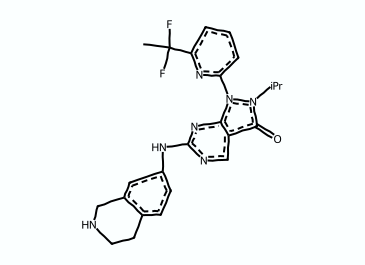 CC(C)n1c(=O)c2cnc(Nc3ccc4c(c3)CNCC4)nc2n1-c1cccc(C(C)(F)F)n1